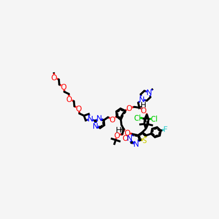 COCCOCCOCCOCC1CN(c2nccc(COc3ccc4cc3C[C@H](C(=O)OC(C)(C)C)Oc3ncnc5sc(-c6ccc(F)cc6)c(c35)-c3c(C)c(Cl)c(c(Cl)c3C)O[C@H](CN3CCN(C)CC3)CO4)n2)C1